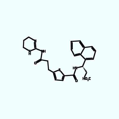 O=C(O)C[C@H](NC(=O)c1ccc(CCC(=O)NC2=NCCCN2)s1)c1cccc2ccccc12